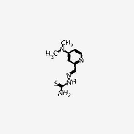 CN(C)c1ccnc(C=NNC(N)=S)c1